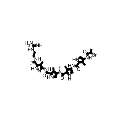 C=C(Br)C(=O)Nc1c[nH]c(C(=O)Nc2c[nH]c(C(=O)Nc3c[nH]c(C(=O)Nc4n[nH]c(C(=O)NCCNC(=N)N)c4C)c3C)c2C)c1C